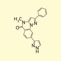 Cn1c(=O)c2ccc(-c3cc[nH]n3)cc2n2nc(-c3ccccc3)cc12